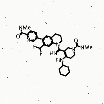 CNC(=O)c1ccc(-c2cc3c(cc2C(F)F)N(C(=N)C2=C(NC4CCCCC4)CCN(C(=O)NC)C2)CCC3)cn1